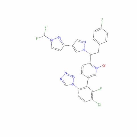 [O-][n+]1cc(-c2c(-n3cnnn3)ccc(Cl)c2F)ccc1C(Cc1ccc(F)cc1)n1cc(-c2ccn(C(F)F)n2)cn1